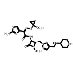 Nc1nc(C(=NOC2(C(=O)O)CC2)C(=O)N[C@@H]2C(=O)N(S(=O)(=O)O)[C@H]2Cn2ncc(CNC3CCNCC3)n2)cs1